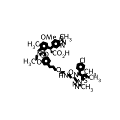 COc1cc([C@@H](CC(=O)O)c2ccc(C)c(CN3C[C@@H](C)Oc4cc(CCCOCCNC(=O)C[C@@H]5N=C(c6ccc(Cl)cc6)c6c(sc(C)c6C)-n6c(C)nnc65)ccc4S3(=O)=O)c2)cc2nnn(C)c12